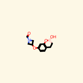 O=CN1CC(Oc2ccc3c(c2)OB(O)CC3)C1